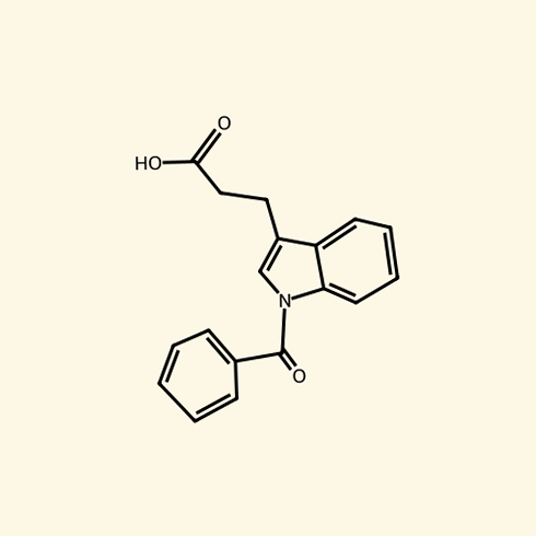 O=C(O)CCc1cn(C(=O)c2ccccc2)c2ccccc12